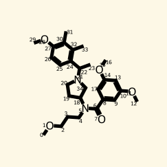 COCCCN(C(=O)c1cc(OC)cc(OC)c1)C1CCN(C(C)c2ccc(OC)c(C)c2C)C1